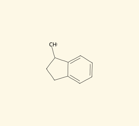 [CH]C1CCc2ccccc21